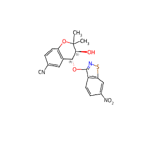 [C-]#[N+]c1ccc2c(c1)[C@@H](Oc1nsc3cc([N+](=O)[O-])ccc13)[C@H](O)C(C)(C)O2